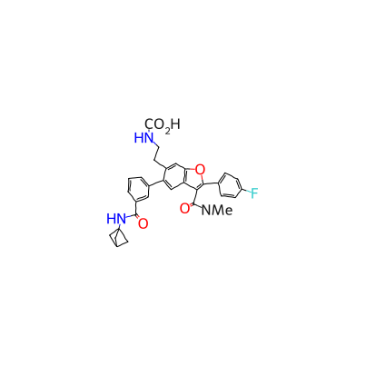 CNC(=O)c1c(-c2ccc(F)cc2)oc2cc(CCNC(=O)O)c(-c3cccc(C(=O)NC45CC(C4)C5)c3)cc12